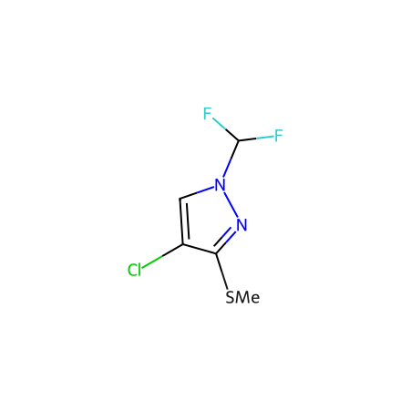 CSc1nn(C(F)F)cc1Cl